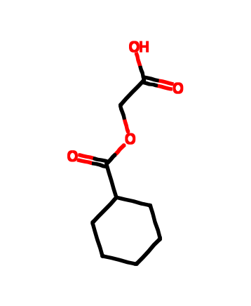 O=C(O)COC(=O)C1CCCCC1